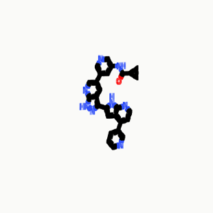 O=C(Nc1cncc(-c2cnc3[nH]nc(-c4cc5c(-c6cccnc6)ccnc5[nH]4)c3c2)c1)C1CC1